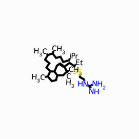 CCC(CC1=CCC2C(CCC(C)C2CCCC(C)C(C)CCCCC(C)C)CC1(C)C)SSCCNC(=N)N